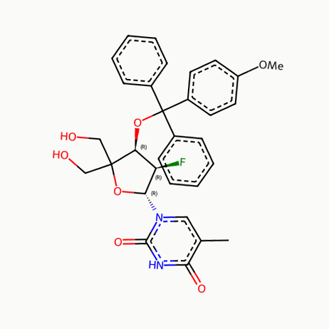 COc1ccc(C(O[C@H]2[C@@H](F)[C@H](n3cc(C)c(=O)[nH]c3=O)OC2(CO)CO)(c2ccccc2)c2ccccc2)cc1